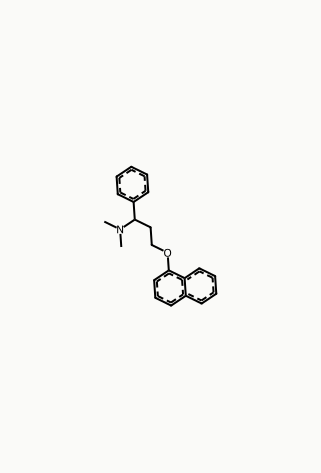 CN(C)C(CCOc1cccc2ccccc12)c1ccccc1